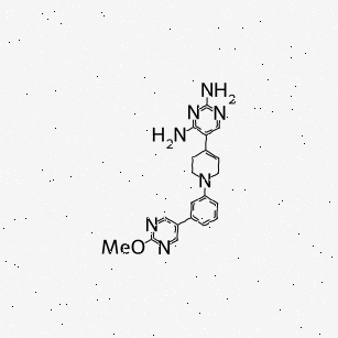 COc1ncc(-c2cccc(N3CC=C(c4cnc(N)nc4N)CC3)c2)cn1